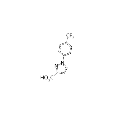 O=C(O)c1ccn(-c2ccc(C(F)(F)F)cc2)n1